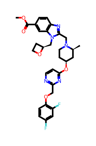 COC(=O)c1ccc2nc(CN3CC[C@H](Oc4ccnc(COc5ccc(F)cc5F)n4)C[C@@H]3C)n(C[C@@H]3CCO3)c2c1